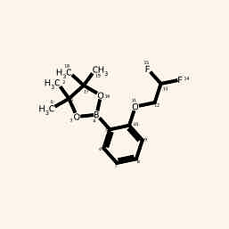 CC1(C)OB(c2ccccc2OCC(F)F)OC1(C)C